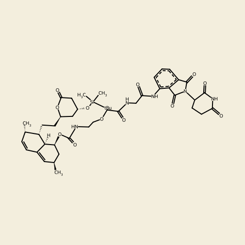 C[C@H]1C=C2C=C[C@H](C)[C@H](CC[C@@H]3C[C@@H](O[Si](C)(C)C(C)(C)C)CC(=O)O3)[C@H]2[C@@H](OC(=O)NCCOCC(=O)NCC(=O)Nc2cccc3c2C(=O)N(C2CCC(=O)NC2=O)C3=O)C1